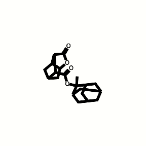 CC1(OC(=O)C2C3CC4OC(=O)C2C4C3)C2CC3CC(C2)CC1C3